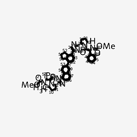 COC(=O)N[C@H](C(=O)N1[C@@H](C)CC[C@H]1c1nc2ccc3cc(-c4ccc(-c5cnc([C@@H]6CCCN6C(=O)[C@H](NC(=O)OC)c6ccccc6)[nH]5)c5c4CCC5)ccc3c2[nH]1)C(C)C